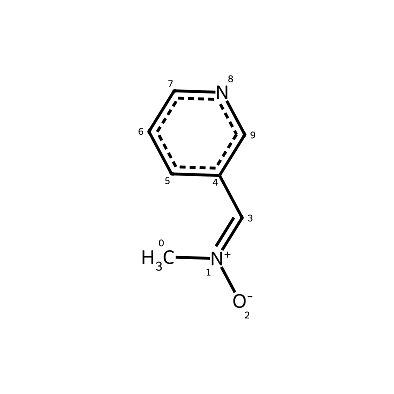 C/[N+]([O-])=C\c1cccnc1